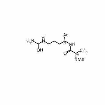 CN[C@@H](C)C(=O)N[C@@H](CCCNC(N)O)C(C)=O